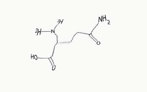 [2H]N([2H])[C@H](CCC(N)=O)C(=O)O